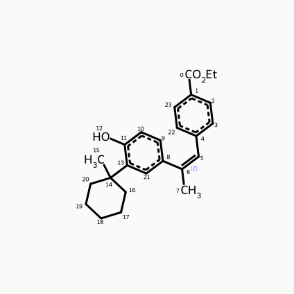 CCOC(=O)c1ccc(/C=C(/C)c2ccc(O)c(C3(C)CCCCC3)c2)cc1